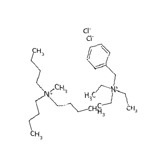 CCCC[N+](C)(CCCC)CCCC.CC[N+](CC)(CC)Cc1ccccc1.[Cl-].[Cl-]